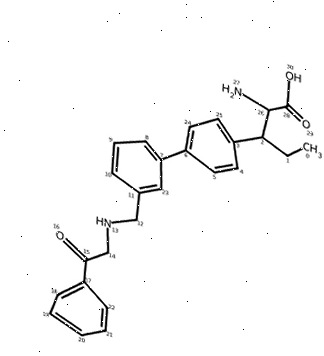 CCC(c1ccc(-c2cccc(CNCC(=O)c3ccccc3)c2)cc1)C(N)C(=O)O